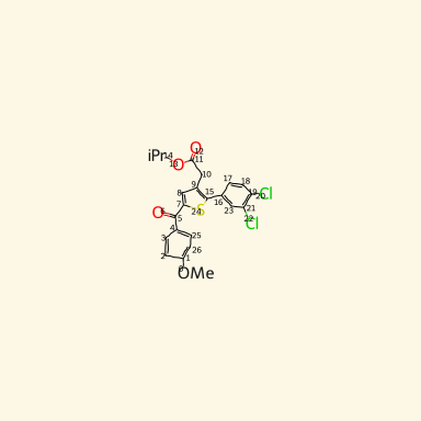 COc1ccc(C(=O)c2cc(CC(=O)OC(C)C)c(-c3ccc(Cl)c(Cl)c3)s2)cc1